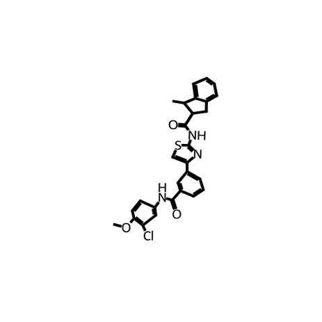 COc1ccc(NC(=O)c2cccc(-c3csc(NC(=O)C4Cc5ccccc5C4C)n3)c2)cc1Cl